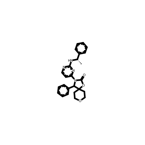 C[C@H](Nc1nccc(N2C(=O)OC3(CCOCC3)C2c2ccccc2)n1)c1ccccc1